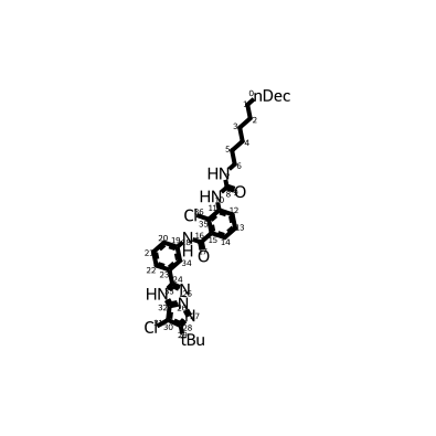 CCCCCCCCCCCCCCCCNC(=O)Nc1cccc(C(=O)Nc2cccc(-c3nn4nc(C(C)(C)C)c(Cl)c4[nH]3)c2)c1Cl